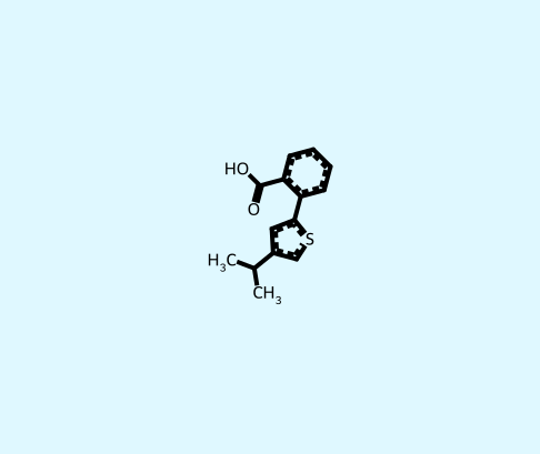 CC(C)c1csc(-c2ccccc2C(=O)O)c1